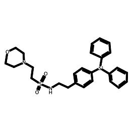 O=S(=O)(CCN1CCOCC1)NCCc1ccc([S+](c2ccccc2)c2ccccc2)cc1